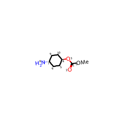 COC(=O)O[C@H]1CC[C@H](N)CC1